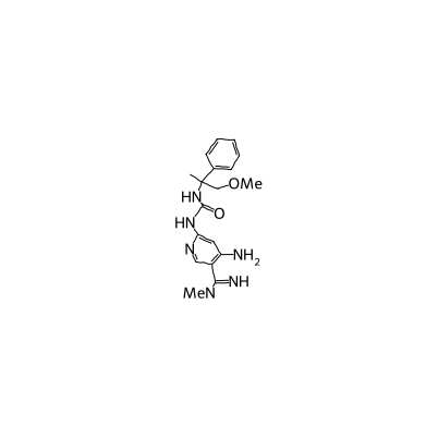 CNC(=N)c1cnc(NC(=O)NC(C)(COC)c2ccccc2)cc1N